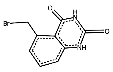 O=c1[nH]c(=O)c2c(CBr)cccc2[nH]1